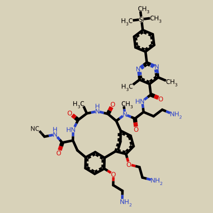 Cc1nc(-c2ccc([Si](C)(C)C)cc2)nc(C)c1C(=O)NC(CCN)C(=O)N(C)C1C(=O)NC(C)C(=O)NC(C(=O)NCC#N)Cc2ccc(OCCN)c(c2)-c2cc1ccc2OCCN